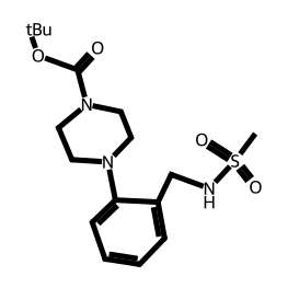 CC(C)(C)OC(=O)N1CCN(c2ccccc2CNS(C)(=O)=O)CC1